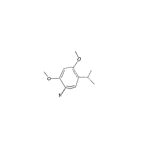 COc1cc(OC)c(C(C)C)cc1F